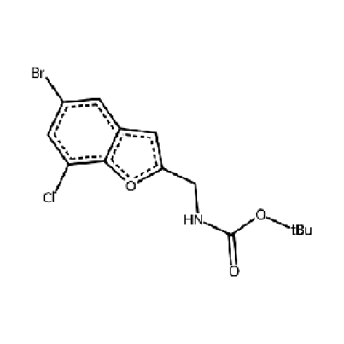 CC(C)(C)OC(=O)NCc1cc2cc(Br)cc(Cl)c2o1